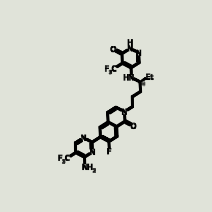 CC[C@@H](CCCn1ccc2cc(-c3ncc(C(F)(F)F)c(N)n3)c(F)cc2c1=O)Nc1cn[nH]c(=O)c1C(F)(F)F